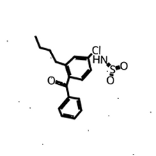 CCCCc1cc(Cl)ccc1C(=O)c1ccccc1.N=S(=O)=O